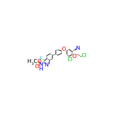 CS(=O)(=O)Nc1ncc2cc(-c3ccc(Oc4cc(Cl)c(OCCCl)c(C#N)c4)cc3)ccc2c1F